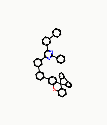 c1ccc(-c2cccc(-c3cc(-c4cccc(-c5cccc(-c6ccc7c(c6)Oc6ccccc6C76c7ccccc7-c7ccccc76)c5)c4)nc(-c4ccccc4)n3)c2)cc1